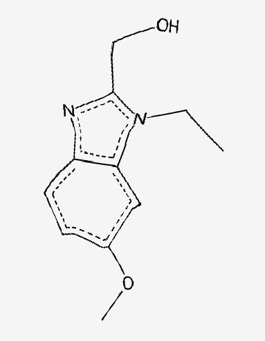 CCn1c(CO)nc2ccc(OC)cc21